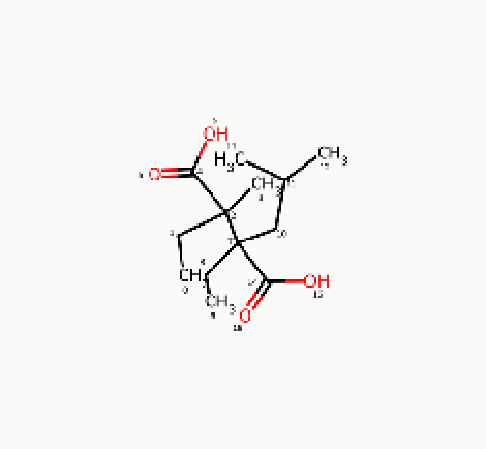 CCC(C)(C(=O)O)C(CC)(CC(C)C)C(=O)O